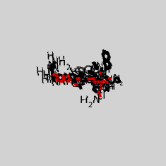 CC(=O)N[C@H](Cc1ccc2ccccc2c1)C(=O)C[C@](C(=O)[C@H](N)Cc1ccc(Cl)cc1)(C(=O)N(C(=O)[C@H](CC(C)C)NC(=O)[C@H](N)Cc1ccc(Nc2n[nH]c(N)n2)cc1)C(=O)[C@@H](N)Cc1ccc(Nc2n[nH]c(N)n2)cc1)N(C(=O)[C@H](CO)NC(=O)[C@H](N)Cc1cccnc1)C(=O)[C@@H]1CCCN1C(=O)[C@H](CCCCN)NC(C)C